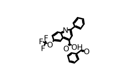 O=C(O)c1cc(-c2ccccc2)nc2ccc(OC(F)(F)F)cc12.O=Cc1ccccc1